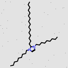 CCCCCCCCCCCCCCCCC1N(CCCCCCCCC)C=CN1CCCCCCCCC